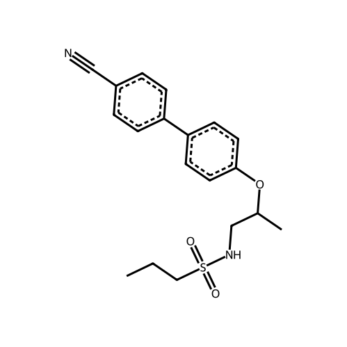 CCCS(=O)(=O)NCC(C)Oc1ccc(-c2ccc(C#N)cc2)cc1